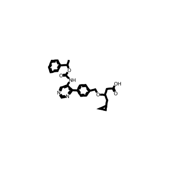 CC(OC(=O)Nc1cncnc1-c1ccc(COC(CC(=O)O)CC2CC2)cc1)c1ccccc1